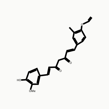 C=COc1ccc(/C=C/C(=O)CC(=O)/C=C/c2ccc(O)c(OC)c2)cc1C